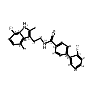 Cc1[nH]c2c(F)ccc(C)c2c1CCNC(=O)c1ccc(-c2ccccc2F)cc1